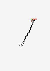 CCCCCCCCCCCCCCCCCCC1(O)CC(=O)OC1=S